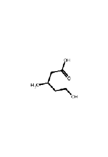 [CH2]C(CCO)CC(=O)O